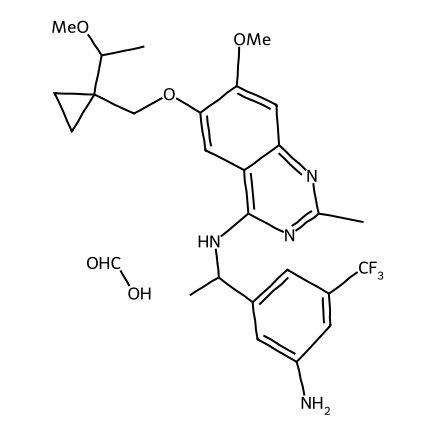 COc1cc2nc(C)nc(NC(C)c3cc(N)cc(C(F)(F)F)c3)c2cc1OCC1(C(C)OC)CC1.O=CO